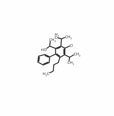 CCCCc1c(-c2ccccc2)c(C(C)O)c(C(C)C)c(Cl)c1C(C)C